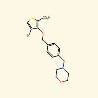 O=C(O)c1scc(Br)c1OCc1ccc(CN2CCOCC2)cc1